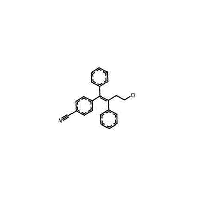 N#Cc1ccc(/C(=C(/CCCl)c2ccccc2)c2ccccc2)cc1